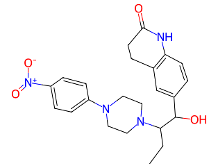 CCC(C(O)c1ccc2c(c1)CCC(=O)N2)N1CCN(c2ccc([N+](=O)[O-])cc2)CC1